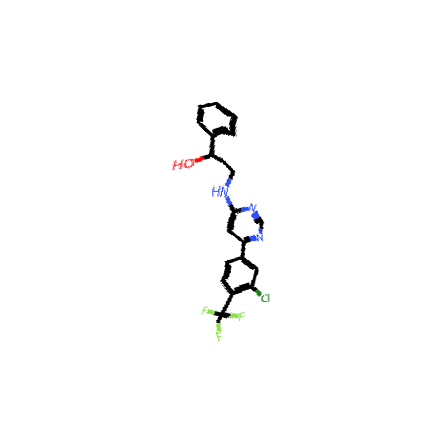 OC(CNc1cc(-c2ccc(C(F)(F)F)c(Cl)c2)ncn1)c1ccccc1